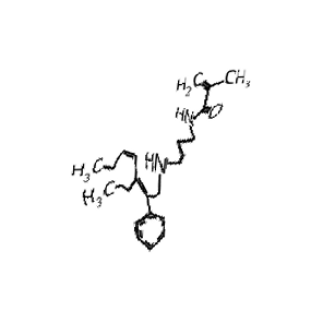 C=C(C)C(=O)NCCCNC/C(=C(\C=C/CC)CC)c1ccccc1